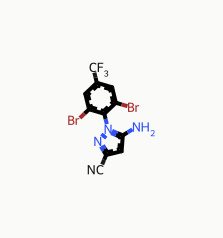 N#Cc1cc(N)n(-c2c(Br)cc(C(F)(F)F)cc2Br)n1